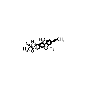 CC#CC1=CC(C)C(C2=C(O)CC3(CCN(C(=O)C(C)(C)C#N)CC3)CC2=O)C(C)=C1